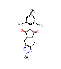 Cc1cc(C)c(C2C(=O)CC(Cc3nn(C)nc3C)C2=O)c(C)c1